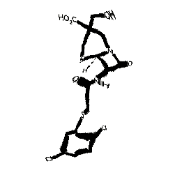 O=C(CSc1cc(Cl)ccc1Cl)NC1C(=O)N2CC(CO)(C(=O)O)CS[C@H]12